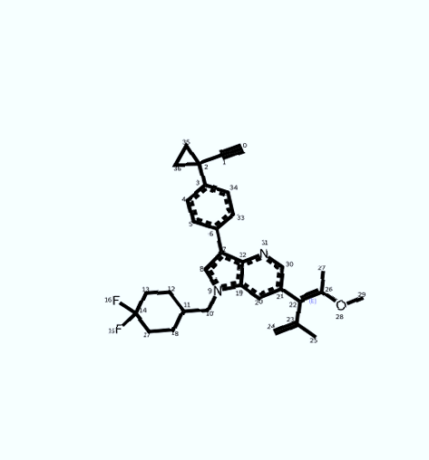 C#CC1(c2ccc(-c3cn(CC4CCC(F)(F)CC4)c4cc(/C(C(=C)C)=C(\C)OC)cnc34)cc2)CC1